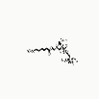 CCCCCCCCCCCCCCCC(=O)OC[C@H](COP(=O)(O)OCC[N+](C)(C)C)OC(=O)CCCCCCCCC